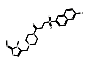 CN=c1scc(CN2CCN(C(=O)CCS(=O)(=O)c3ccc4cc(Cl)ccc4c3)CC2)n1C